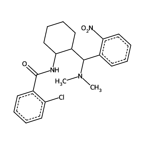 CN(C)C(c1ccccc1[N+](=O)[O-])C1CCCCC1NC(=O)c1ccccc1Cl